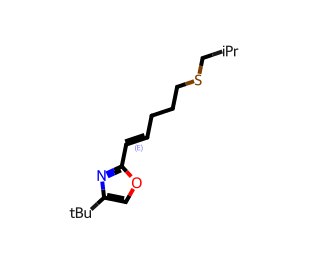 CC(C)CSCCC/C=C/c1nc(C(C)(C)C)co1